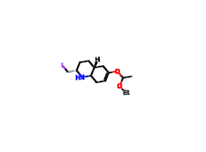 CCOC(C)OC1=CCC2N[C@H](CI)CC[C@@H]2C1